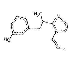 C=Cn1ccnc1C(C)Cc1cccc(O)c1